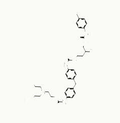 CCC(CCOC(=O)Nc1ccc(Cc2ccc(NC(=O)OCCN(CCO)CCO)cc2)cc1)COC(=O)Nc1ccc(C)cc1